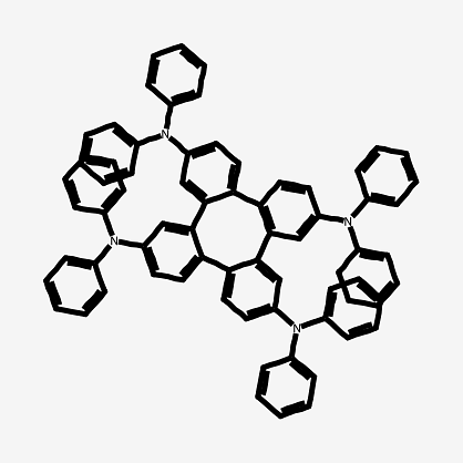 C1=CCCC(N(c2ccccc2)c2ccc3c(c2)-c2cc(N(c4ccccc4)c4ccccc4)ccc2-c2ccc(N(c4ccccc4)c4ccccc4)cc2-c2cc(N(c4ccccc4)c4ccccc4)ccc2-3)=C1